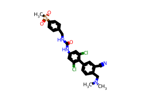 CN(C)Cc1ccc(-c2c(Cl)cc(NC(=O)NCc3ccc(S(C)(=O)=O)cc3)cc2Cl)cc1C#N